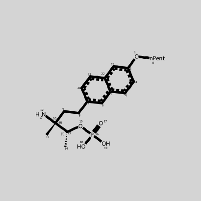 CCCCCOc1ccc2cc(CC[C@@](C)(N)[C@@H](C)OP(=O)(O)O)ccc2c1